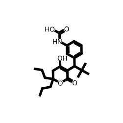 CCCC1(CCC)CC(O)=C(C(c2cccc(NC(=O)O)c2)C(C)(C)C)C(=O)O1